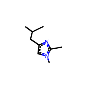 Cc1nc(CC(C)C)cn1C